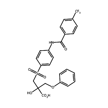 O=C(Nc1ccc(S(=O)(=O)CC(O)(COc2ccccc2)C(=O)O)cc1)c1ccc(C(F)(F)F)cc1